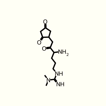 CN(C)C(=N)NCCCC(N)C(=O)CC1CC(=O)CC1=O